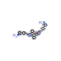 Nc1cccc(-c2ccc(CCN3CCN(CC(C(=O)C(CN4CCN(CCc5ccc(-c6cccc(N)n6)cc5)CC4)c4ccccc4)c4ccccc4)CC3)cc2)n1